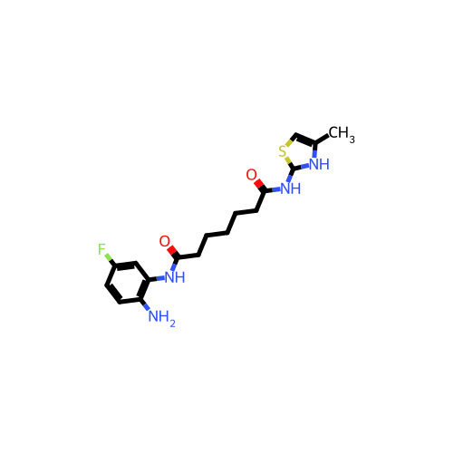 CC1=CSC(NC(=O)CCCCCC(=O)Nc2cc(F)ccc2N)N1